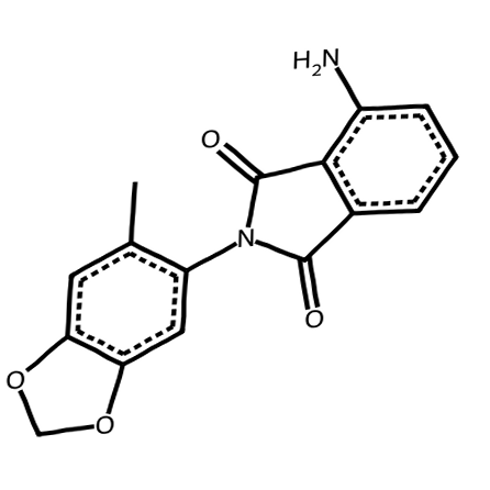 Cc1cc2c(cc1N1C(=O)c3cccc(N)c3C1=O)OCO2